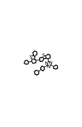 c1ccc(-c2ccc(-c3nc(-c4ccccc4)nc(-c4cccc5sc6cc(-c7ccc(-c8ccccc8)c8sc9ccccc9c78)ccc6c45)n3)cc2)cc1